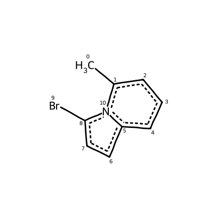 Cc1cccc2ccc(Br)n12